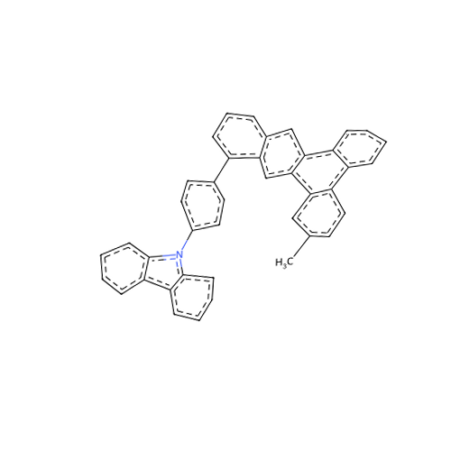 Cc1ccc2c3ccccc3c3cc4cccc(-c5ccc(-n6c7ccccc7c7ccccc76)cc5)c4cc3c2c1